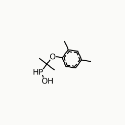 Cc1ccc(OC(C)(C)PO)c(C)c1